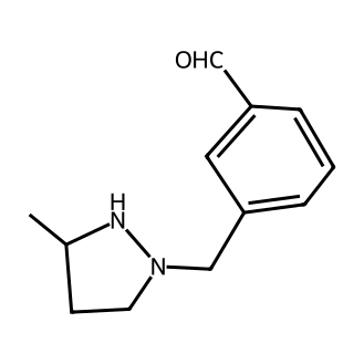 CC1CCN(Cc2cccc(C=O)c2)N1